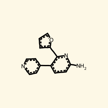 Nc1ccc(-c2ccncc2)c(-c2ccco2)n1